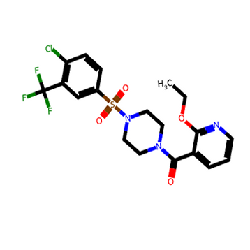 CCOc1ncccc1C(=O)N1CCN(S(=O)(=O)c2ccc(Cl)c(C(F)(F)F)c2)CC1